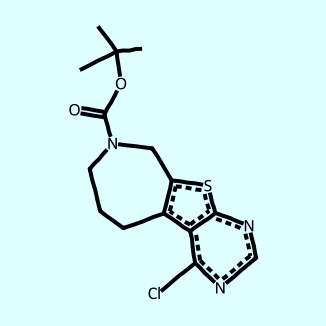 CC(C)(C)OC(=O)N1CCCc2c(sc3ncnc(Cl)c23)C1